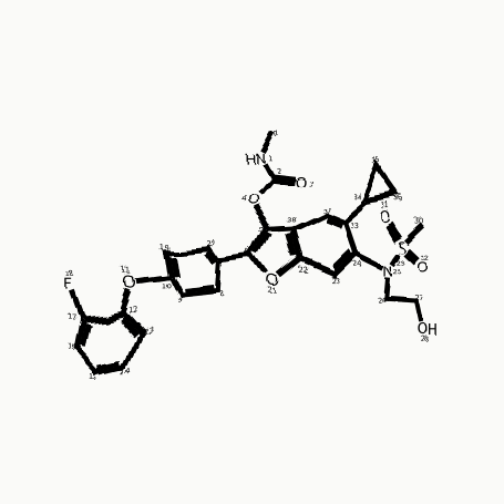 CNC(=O)Oc1c(-c2ccc(Oc3ccccc3F)cc2)oc2cc(N(CCO)S(C)(=O)=O)c(C3CC3)cc12